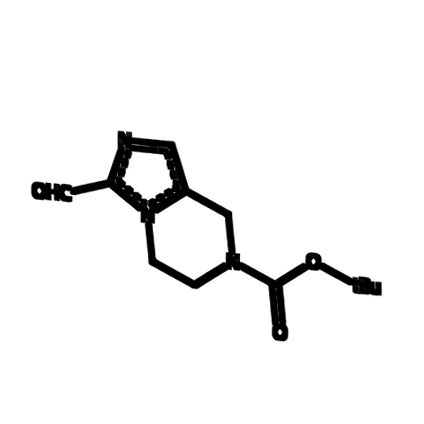 CC(C)(C)OC(=O)N1CCn2c(cnc2C=O)C1